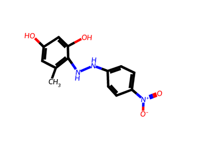 Cc1cc(O)cc(O)c1NNc1ccc([N+](=O)[O-])cc1